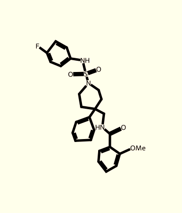 COc1ccccc1C(=O)NCC1(c2ccccc2)CCN(S(=O)(=O)Nc2ccc(F)cc2)CC1